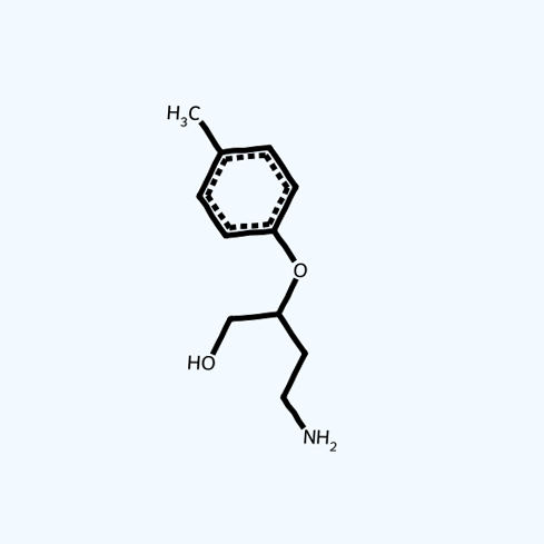 Cc1ccc(OC(CO)CCN)cc1